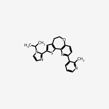 Cc1ncccc1-c1ccc2c(n1)-c1sc(-c3nccn3C(C)C)cc1CCO2